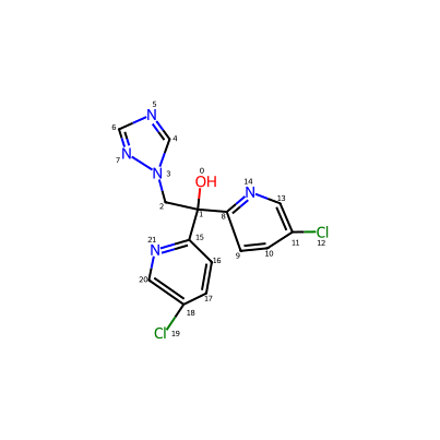 OC(Cn1cncn1)(c1ccc(Cl)cn1)c1ccc(Cl)cn1